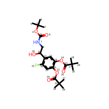 CC(C)(C)OC(=O)NCC(O)c1cc(OC(=O)C(C)(C)C)c(OC(=O)C(C)(C)C)cc1F